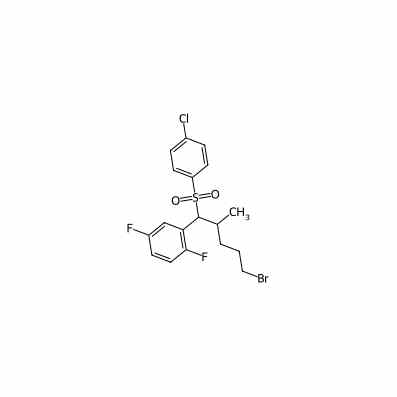 CC(CCCBr)C(c1cc(F)ccc1F)S(=O)(=O)c1ccc(Cl)cc1